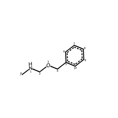 [CH2]NCO[CH]c1ccccc1